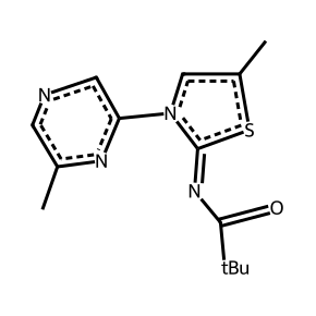 Cc1cncc(-n2cc(C)sc2=NC(=O)C(C)(C)C)n1